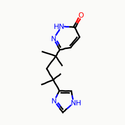 CC(C)(CC(C)(C)c1ccc(=O)[nH]n1)c1c[nH]cn1